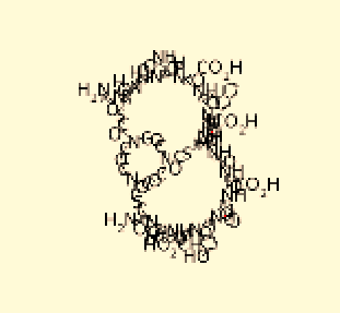 C[C@H](N)C(=O)N[C@H]1CSCC(=O)N2CCOCCN3CCOCCN(CCOCC2)C(=O)CSC[C@@H]2NC(=O)[C@H](NC(=O)[C@H](Cc4cccc5ccccc45)NC(=O)[C@H](CCC(=O)O)NC(=O)[C@H](CC(N)=O)NC(=O)[C@@H](C)NC1=O)C(C(=O)O)C[C@H](NC2=O)C(=O)N[C@@H](CC(=O)O)C(=O)N[C@@H](Cc1ccccc1)C(=O)N[C@@H](Cc1ccc(O)cc1)C(=O)N[C@@H](CC(=O)O)C(=O)N[C@@H](C(C)(C)C)C(=O)N[C@H](C(N)=O)CSCC3=O